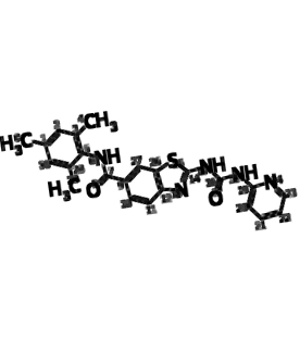 Cc1cc(C)c(NC(=O)c2ccc3nc(NC(=O)Nc4ccccn4)sc3c2)c(C)c1